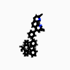 Cc1ccc2ccc3c(-c4cccc(-c5ccc6c(c5)C5(c7ccccc7-6)c6ccccc6C(C)(C)c6ccccc65)c4)cc(C)nc3c2n1